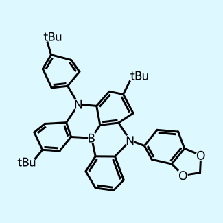 CC(C)(C)c1ccc(N2c3ccc(C(C)(C)C)cc3B3c4ccccc4N(c4ccc5c(c4)OCO5)c4cc(C(C)(C)C)cc2c43)cc1